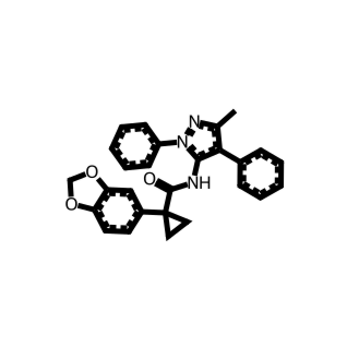 Cc1nn(-c2ccccc2)c(NC(=O)C2(c3ccc4c(c3)OCO4)CC2)c1-c1ccccc1